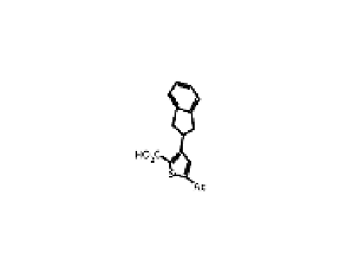 CC(=O)c1cc(C2Cc3ccccc3C2)c(C(=O)O)s1